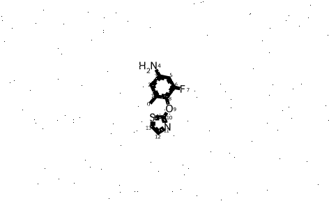 Cc1cc(N)cc(F)c1Oc1nccs1